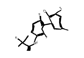 C=C(Nc1ccc(F)c(-c2cc(C)cc(F)c2Cl)c1F)C(C)(C)F